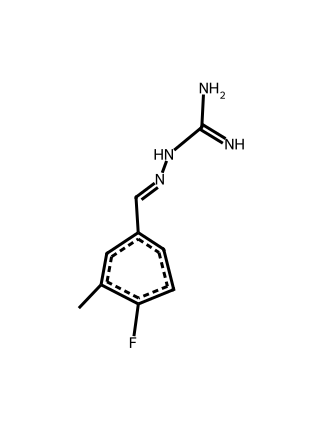 Cc1cc(C=NNC(=N)N)ccc1F